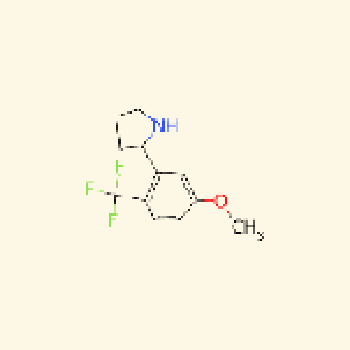 COc1ccc(C(F)(F)F)c(C2CCCN2)c1